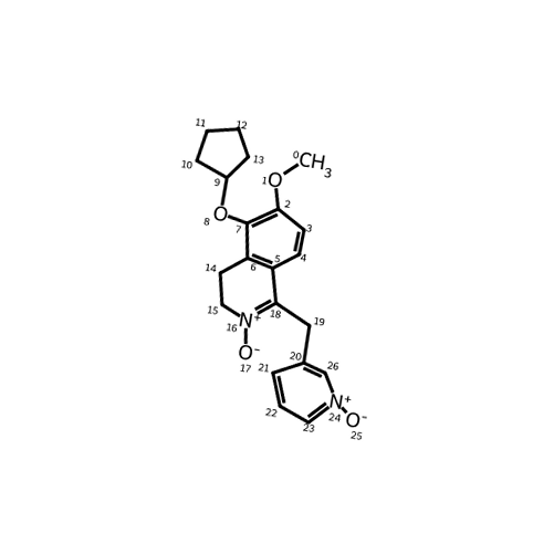 COc1ccc2c(c1OC1CCCC1)CC[N+]([O-])=C2Cc1ccc[n+]([O-])c1